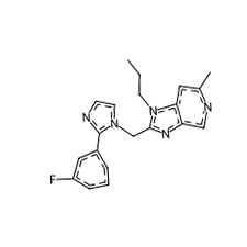 CCCn1c(Cn2ccnc2-c2cccc(F)c2)nc2cnc(C)cc21